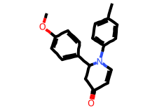 COc1ccc(C2CC(=O)C=CN2c2ccc(C)cc2)cc1